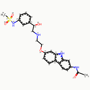 CC(=O)Nc1ccc2c(c1)[nH]c1cc(OCCNC[C@H](O)c3cccc(NS(C)(=O)=O)c3)ccc12